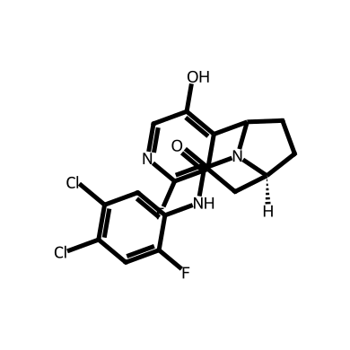 O=C(Nc1cc(Cl)c(Cl)cc1F)N1C2CC[C@H]1Cc1c(F)ncc(O)c12